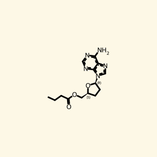 CCCC(=O)OC[C@@H]1CC[C@H](n2cnc3c(N)ncnc32)O1